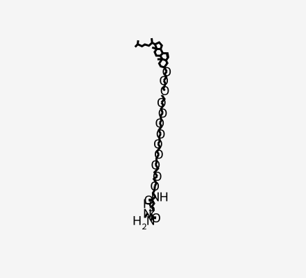 CN[C@@H](CSCC(=O)NCCOCCOCCOCCOCCOCCOCCOCCOCCOCCOCCOCCOC1CCC2(C)C(C=CC3C2CCC2(C)C(C(C)CCCC(C)C)CCC32)C1)C(N)=O